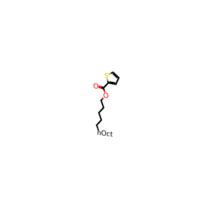 CCCCCCCCCCCCCOC(=O)c1cccs1